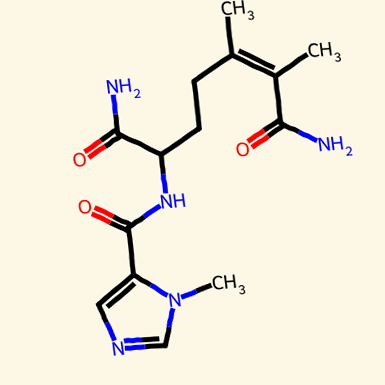 CC(CCC(NC(=O)c1cncn1C)C(N)=O)=C(C)C(N)=O